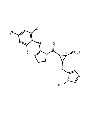 Cn1cncc1CC1C(C(=O)N2CCN=C2Nc2c(Cl)cc(N)cc2Cl)[C@H]1C(=O)O